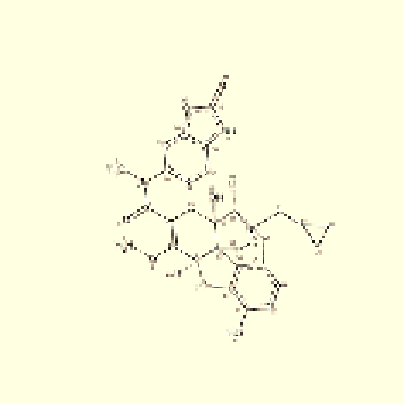 CN(C(=O)C1=C(ON)[C@@H]2Oc3c(O)ccc4c3[C@@]23CCN(CC2CC2)[C@H](C4)[C@]3(O)C1)c1ccc2[nH]c(=O)oc2c1